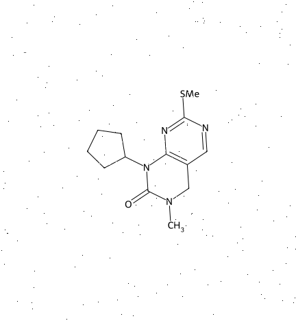 CSc1ncc2c(n1)N(C1CCCC1)C(=O)N(C)C2